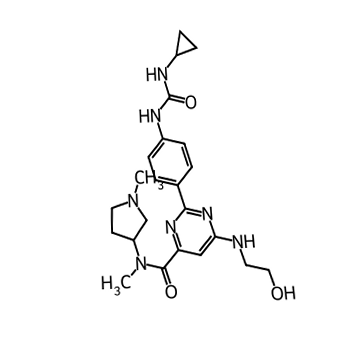 CN1CCC(N(C)C(=O)c2cc(NCCO)nc(-c3ccc(NC(=O)NC4CC4)cc3)n2)C1